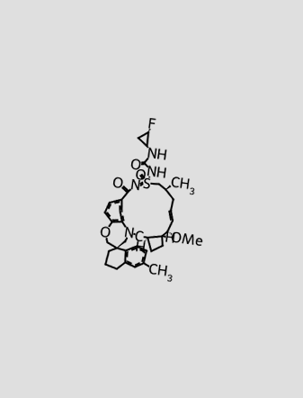 CO[C@H]1/C=C/C[C@H](C)C[S@@](=O)(NC(=O)N[C@@H]2C[C@@H]2F)=NC(=O)c2ccc3c(c2)N(C[C@@H]2CC[C@H]21)C[C@@]1(CCCc2cc(C)ccc21)CO3